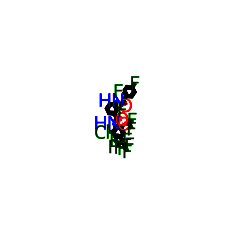 O=C(Nc1cccc(C(=O)Nc2c(Cl)cc(C(F)(C(F)(F)F)C(F)(F)F)cc2OC(F)F)c1F)c1ccc(F)cc1F